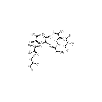 C=C(C)C(=O)O.C=C(C)C(=O)O.C=C(C)C(=O)O.C=CC(=O)OOC(=O)C(=C)C.OCC(O)CO.OCC(O)CO